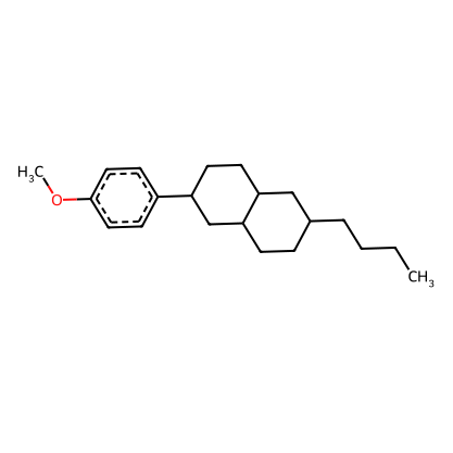 CCCCC1CCC2CC(c3ccc(OC)cc3)CCC2C1